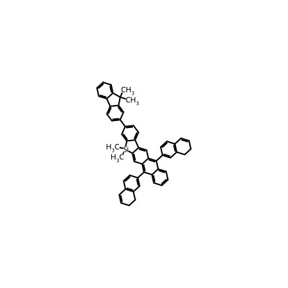 CC1(C)c2ccccc2-c2ccc(-c3ccc4c(c3)[Si](C)(C)c3cc5c(-c6ccc7c(c6)CCC=C7)c6ccccc6c(-c6ccc7c(c6)CCC=C7)c5cc3-4)cc21